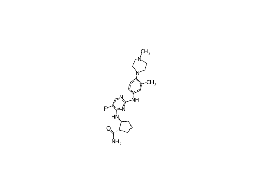 Cc1cc(Nc2ncc(F)c(N[C@H]3CCC[C@@H]3C(N)=O)n2)ccc1N1CCN(C)CC1